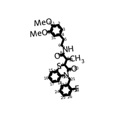 COc1ccc(CCNC(=O)C(C)C2Sc3ccccc3N(Cc3ccccc3F)C2=O)cc1OC